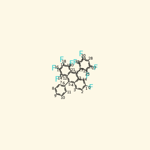 Fc1ccc2c(-c3ccccc3)c3c(F)c(F)c(F)c(F)c3c(-c3c(F)c(F)cc(F)c3F)c2c1